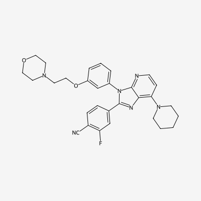 N#Cc1ccc(-c2nc3c(N4CCCCC4)ccnc3n2-c2cccc(OCCN3CCOCC3)c2)cc1F